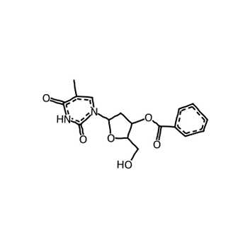 Cc1cn(C2CC(OC(=O)c3ccccc3)C(CO)O2)c(=O)[nH]c1=O